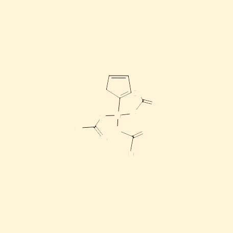 CCC(=O)[O][Ti]([O]C(=O)CC)([O]C(=O)CC)[C]1=CC=CC1